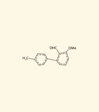 COc1cccc(-c2ccc(C)cc2)c1C=O